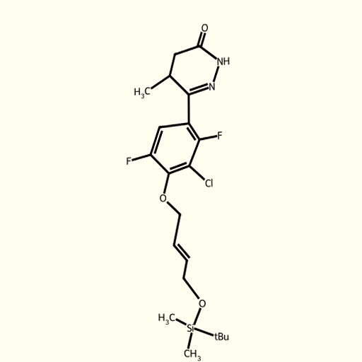 CC1CC(=O)NN=C1c1cc(F)c(OCC=CCO[Si](C)(C)C(C)(C)C)c(Cl)c1F